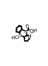 Cl.O=C(O)N1c2ccccc2Sc2cccnc21